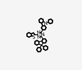 c1ccc(-n2c3ccccc3c3cc(-c4nc(-c5cc6ccccc6s5)nc(-c5cccc6c5-c5ccccc5C6(c5ccccc5)c5ccccc5)n4)ccc32)cc1